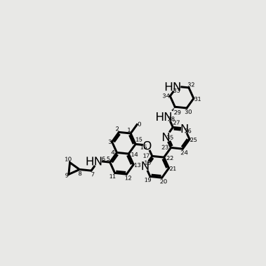 Cc1ccc2c(NCC3CC3)cccc2c1Oc1ncccc1-c1ccnc(N[C@H]2CCCNC2)n1